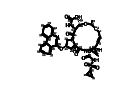 C[C@H]1CCC=C[C@@H]2C[C@@]2(C(=O)NS(=O)(=O)C2CC2)NC(=O)[C@@H]2C[C@@H](Oc3nc4ccccc4c4ccccc34)CN2C(=O)[C@@H](NC(=O)O)[C@H](C)C1